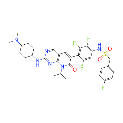 CC(C)n1c(=O)c(-c2c(F)cc(NS(=O)(=O)Cc3ccc(F)cc3)c(F)c2F)cc2cnc(N[C@H]3CC[C@H](N(C)C)CC3)nc21